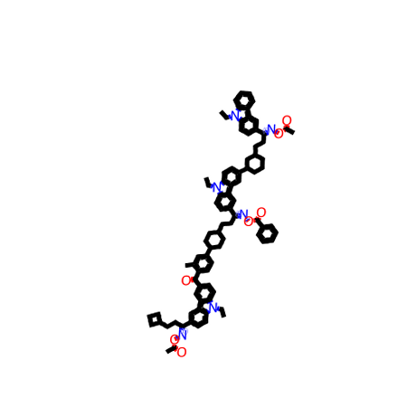 CCn1c2ccc(C(=O)c3ccc(C4CCC(CC/C(=N\OC(=O)c5ccccc5)c5ccc6c(c5)c5cc(C7CCCC(CC/C(=N\OC(C)=O)c8ccc9c(c8)c8ccccc8n9CC)C7)ccc5n6CC)CC4)cc3C)cc2c2cc(/C(CCC3CCC3)=N/OC(C)=O)ccc21